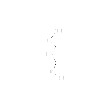 NNCNCNN